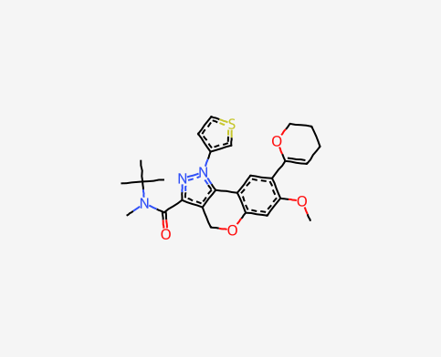 COc1cc2c(cc1C1=CCCCO1)-c1c(c(C(=O)N(C)C(C)(C)C)nn1-c1ccsc1)CO2